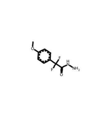 COc1ccc(C(F)(F)C(=O)NN)cc1